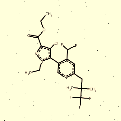 CCOC(=O)c1nn(CC)c(-c2cnc(CC(C)(C)C(F)(F)F)cc2C(F)F)c1Cl